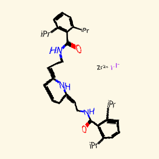 CC(C)c1cccc(C(C)C)c1C(=O)NCC=C1C=CCC(=CCNC(=O)c2c(C(C)C)cccc2C(C)C)N1.[I-].[I-].[Zr+2]